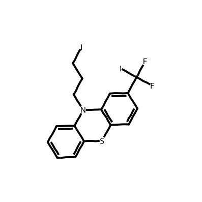 FC(F)(I)c1ccc2c(c1)N(CCCI)c1ccccc1S2